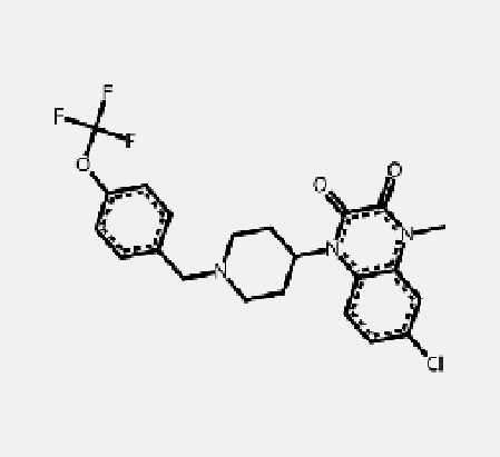 Cn1c(=O)c(=O)n(C2CCN(Cc3ccc(OC(F)(F)F)cc3)CC2)c2ccc(Cl)cc21